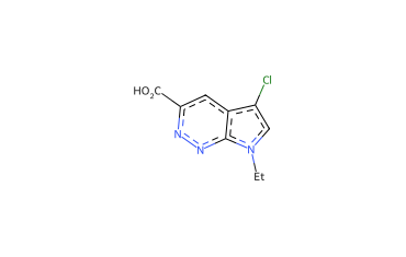 CCn1cc(Cl)c2cc(C(=O)O)nnc21